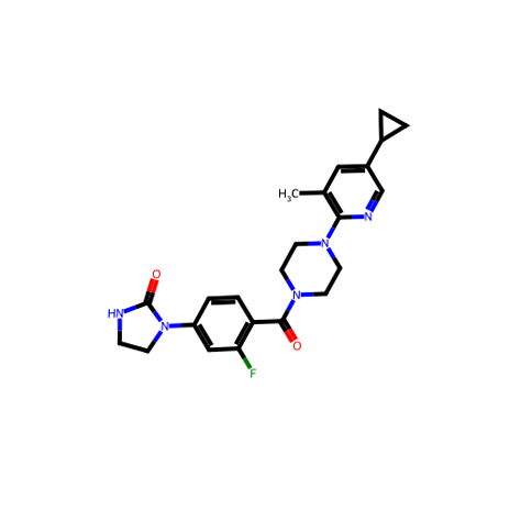 Cc1cc(C2CC2)cnc1N1CCN(C(=O)c2ccc(N3CCNC3=O)cc2F)CC1